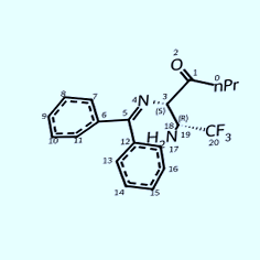 CCCC(=O)[C@@H](N=C(c1ccccc1)c1ccccc1)[C@@H](N)C(F)(F)F